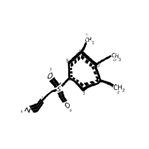 Cc1cc(S(=O)(=O)C#N)cc(C)c1C